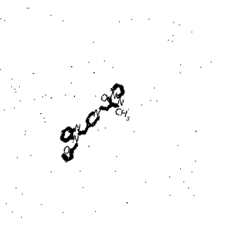 Cc1nc2ccccn2c(=O)c1CCN1CCC(Cc2nc3ccccc3n2Cc2ccco2)CC1